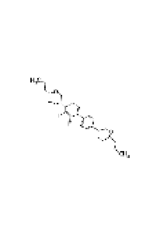 CCCC1CCC(c2ccc(C3=CCC(C4COC(CCC)OC4)C(F)=C3F)cc2)CO1